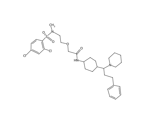 CN(CCOCC(=O)NC1CCC(C(CCc2ccccc2)N2CCCCC2)CC1)S(=O)(=O)c1ccc(Cl)cc1Cl